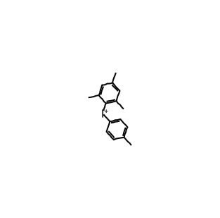 Cc1ccc([I+]c2c(C)cc(C)cc2C)cc1